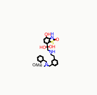 COc1ccccc1CN(C)Cc1cccc(CCNCC(O)(O)c2ccc(O)c3[nH]c(=O)sc23)c1